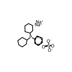 O=S(=O)([O-])[O-].[Na+].[Na+].c1ccc(P(C2CCCCC2)C2CCCCC2)cc1